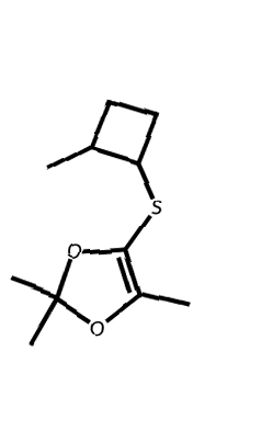 CC1=C(SC2CCC2C)OC(C)(C)O1